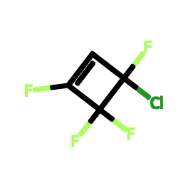 FC1=CC(F)(Cl)C1(F)F